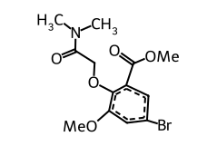 COC(=O)c1cc(Br)cc(OC)c1OCC(=O)N(C)C